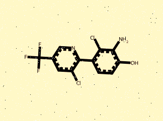 Nc1c(O)ccc(-c2ncc(C(F)(F)F)cc2Cl)c1Cl